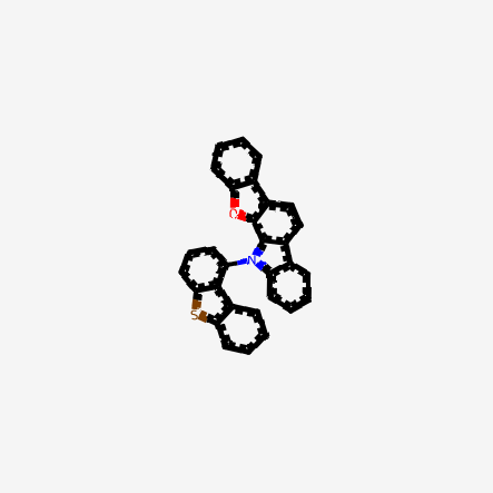 c1ccc2c(c1)oc1c2ccc2c3ccccc3n(-c3cccc4sc5ccccc5c34)c21